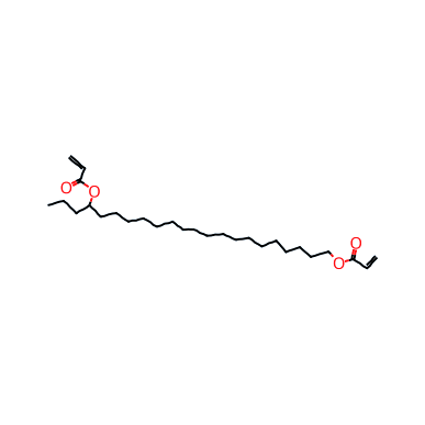 C=CC(=O)OCCCCCCCCCCCCCCCCCCC(CCC)OC(=O)C=C